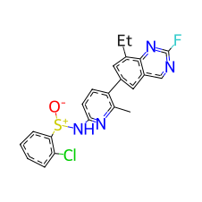 CCc1cc(-c2ccc(N[S+]([O-])c3ccccc3Cl)nc2C)cc2cnc(F)nc12